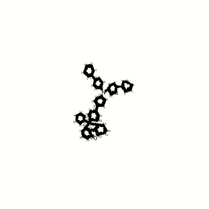 c1ccc(-c2ccc(N(c3ccc(-c4ccccc4)cc3)c3ccc(-c4ccc(C5(c6ccccc6)c6cccc7oc8cccc5c8c67)cc4)cc3)cc2)cc1